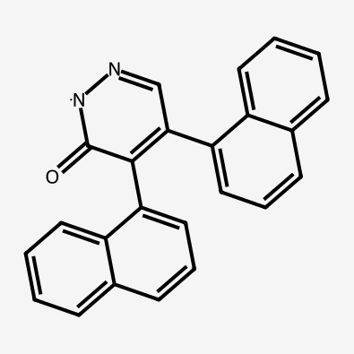 O=C1[N]N=CC(c2cccc3ccccc23)=C1c1cccc2ccccc12